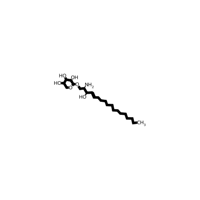 CCCCCCCCCCCCC/C=C/[C@@H](O)[C@@H](N)COC1OCC(O)C(O)C1O